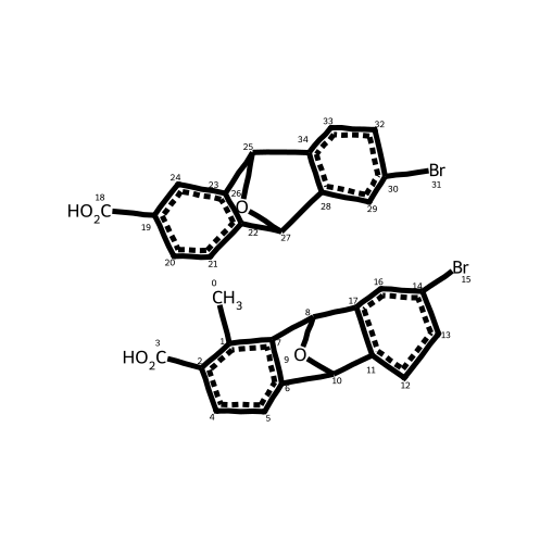 Cc1c(C(=O)O)ccc2c1C1OC2c2ccc(Br)cc21.O=C(O)c1ccc2c(c1)C1OC2c2cc(Br)ccc21